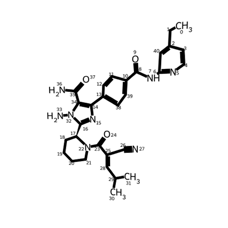 CCc1ccnc(NC(=O)c2ccc(-c3nc([C@@H]4CCCCN4C(=O)/C(C#N)=C/C(C)C)n(N)c3C(N)=O)cc2)c1